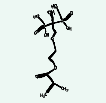 C=C(C)C(=O)OCCOCC(O)(P(=O)(O)O)P(=O)(O)O